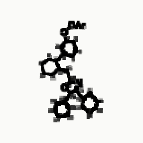 CC(=O)OOc1cccc(C2CCCCC2=Cc2nc(-c3ccccc3)c(-c3ccccc3)o2)c1